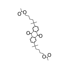 CC(=O)OCCCCC(C)(C)c1ccc2c(c1)C(=O)c1ccc(C(C)(C)CCCCOC(C)=O)cc1C2=O